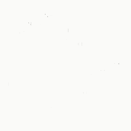 NC(=O)NCl.O=P(O)(F)OCCCCOP(=O)(F)OOP(=O)(F)OOP(=O)(F)OOP(=O)(F)OOP(=O)(O)F